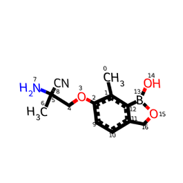 Cc1c(OCC(C)(N)C#N)ccc2c1B(O)OC2